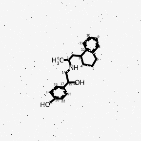 CC(CC1CCCc2ccccc21)NCC(O)c1ccc(O)cc1